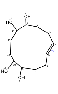 OC1CC/C=C/CCC(O)C(O)CCC1O